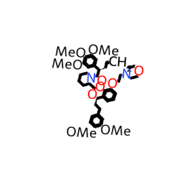 C=CC[C@H](C(=O)N1CCCCC1C(=O)O[C@H](CCc1ccc(OC)c(OC)c1)c1cccc(OCCN2CCOCC2)c1)c1cc(OC)c(OC)c(OC)c1